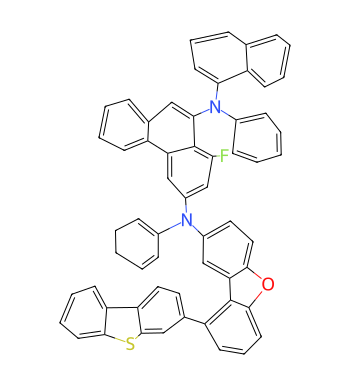 Fc1cc(N(C2=CCCC=C2)c2ccc3oc4cccc(-c5ccc6c(c5)sc5ccccc56)c4c3c2)cc2c1c(N(c1ccccc1)c1cccc3ccccc13)cc1ccccc12